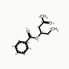 CCC(CC(C)=O)OC(=O)c1ccccc1